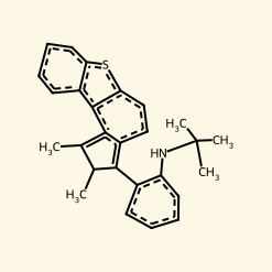 CC1=c2c(ccc3sc4ccccc4c23)=C(c2ccccc2NC(C)(C)C)C1C